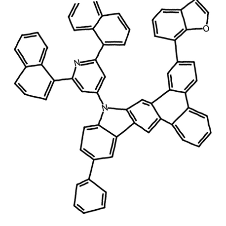 c1ccc(-c2ccc3c(c2)c2cc4c5ccccc5c5ccc(-c6cccc7ccoc67)cc5c4cc2n3-c2cc(-c3cccc4ccccc34)nc(-c3cccc4ccccc34)c2)cc1